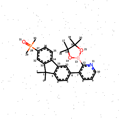 CC1(C)c2ccc(-c3cccnc3B3OC(C)(C)C(C)(C)O3)cc2-c2ccc(P(C)(C)=O)cc21